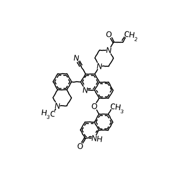 C=CC(=O)N1CCN(c2c(C#N)c(-c3cccc4c3CCN(C)C4)nc3c(Oc4c(C)ccc5[nH]c(=O)ccc45)cccc23)CC1